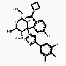 CO[C@H]1[C@@H](S)O[C@H](CO)[C@H](O)C1(c1cc(Cl)ccc1C(=O)N1CCC1)n1cc(-c2cc(F)c(F)c(F)c2)nn1